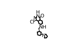 O=c1[nH]nc(Cl)c2cc(NCc3cccc(-n4cccc4)c3)ccc12